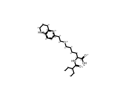 CCC(CC)C(=O)NC(CCCCOCCc1ccc2c(n1)CCCN2)C(=O)O